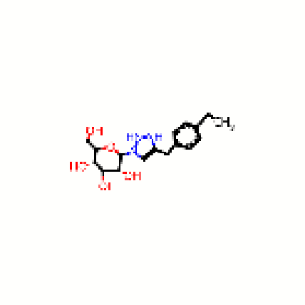 CCc1ccc(CC2=CN(C3OC(CO)[C@@H](O)C(O)[C@H]3O)NN2)cc1